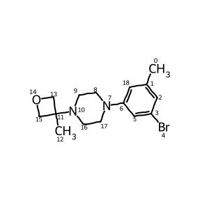 Cc1cc(Br)cc(N2CCN(C3(C)COC3)CC2)c1